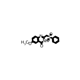 COc1ccc2nc(CS(=O)(=O)c3ccccc3)[nH]c(=O)c2c1